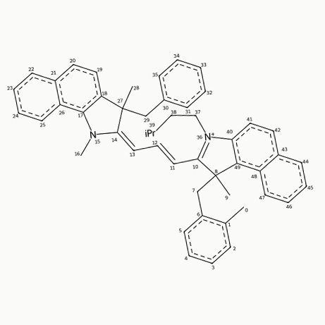 Cc1ccccc1CC1(C)C(/C=C/C=C2/N(C)c3c(ccc4ccccc34)C2(C)Cc2ccccc2)=[N+](CCC(C)C)c2ccc3ccccc3c21